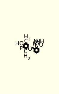 Cc1cc(OCc2ccccc2-n2nn[nH]c2=O)c(C)c(F)c1O